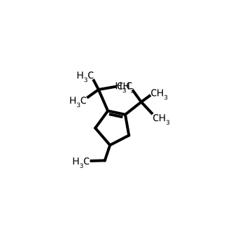 CCC1CC(C(C)(C)C)=C(C(C)(C)C)C1